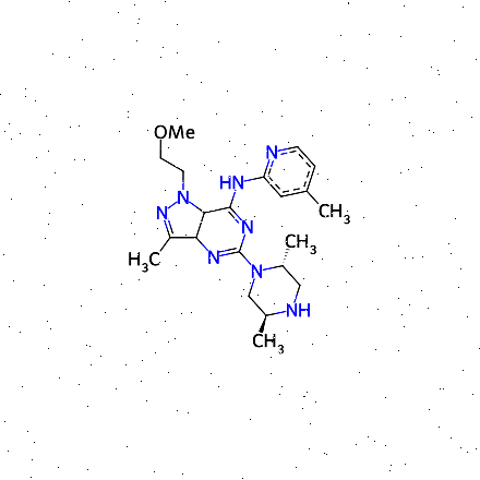 COCCN1N=C(C)C2N=C(N3C[C@H](C)NC[C@H]3C)N=C(Nc3cc(C)ccn3)C21